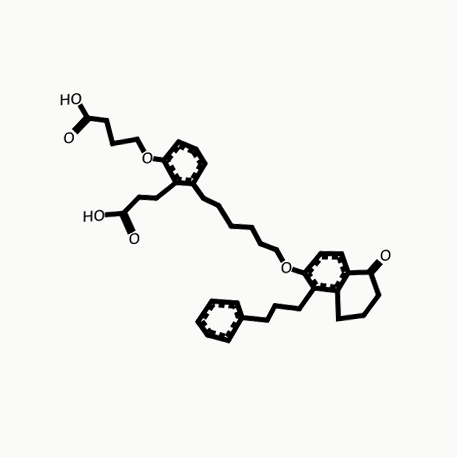 O=C(O)CCCOc1cccc(CCCCCCOc2ccc3c(c2CCCc2ccccc2)CCCC3=O)c1CCC(=O)O